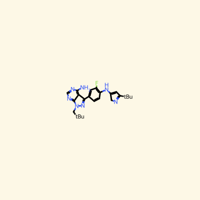 CC(C)(C)Cn1nc(-c2ccc(NC3=CC(C(C)(C)C)=NC3)c(F)c2)c2c(N)ncnc21